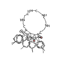 Cc1ccc(S(=O)(=O)N2CCNCCNCCNCCNCCN(S(=O)(=O)c3ccc(C)cc3)C(S(=O)(=O)c3ccc(C)cc3)(S(=O)(=O)c3ccc(C)cc3)C2(S(=O)(=O)c2ccc(C)cc2)S(=O)(=O)c2ccc(C)cc2)cc1